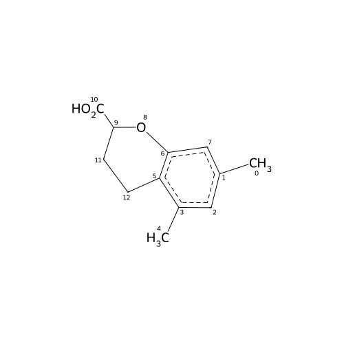 Cc1cc(C)c2c(c1)OC(C(=O)O)CC2